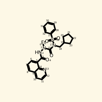 CCN(NC(=O)c1cccc2cccnc12)C(=O)N(CC1CCCC1)S(=O)(=O)c1ccccc1